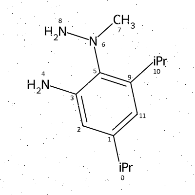 CC(C)c1cc(N)c(N(C)N)c(C(C)C)c1